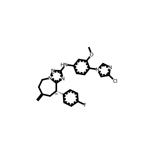 C=C1CCn2nc(Nc3ccc(-n4cnc(Cl)c4)c(OC)c3)nc2[C@H](c2ccc(F)cc2)C1